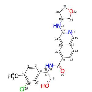 Cc1ccc([C@@H](CO)NC(=O)c2ccc3cnc(NC4CCOC4)cc3c2)cc1Cl